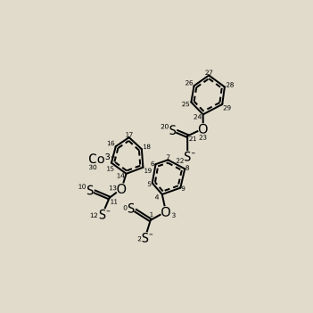 S=C([S-])Oc1ccccc1.S=C([S-])Oc1ccccc1.S=C([S-])Oc1ccccc1.[Co+3]